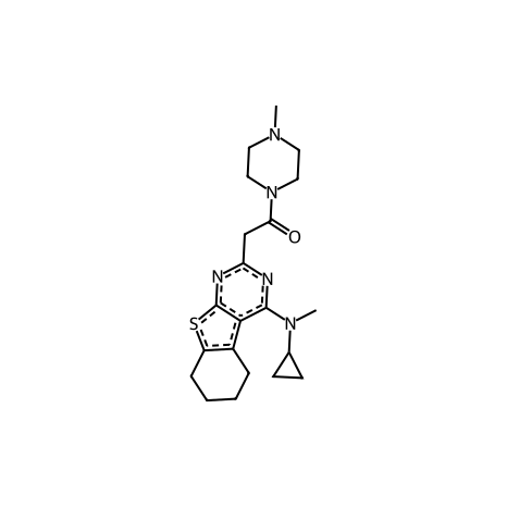 CN1CCN(C(=O)Cc2nc(N(C)C3CC3)c3c4c(sc3n2)CCCC4)CC1